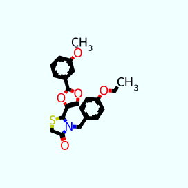 CCOc1ccc(CN2C(=O)CSC2C2=COC(c3cccc(OC)c3)O2)cc1